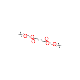 CC(C)(C)COCCOC(=O)CCCCC(=O)OCCOCC(C)(C)C